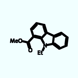 CCn1c2ccccc2c2cccc(C(=O)OC)c21